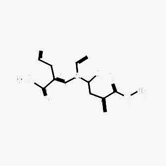 C=CC/C(=C\N(C=C)C(CC)CC(=C)C(=O)OC(C)(C)C)C(=O)OC